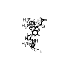 Cc1cc(Nc2nncn2C2CCc3sc(NC(=O)C4CC4)c(S(=O)(=O)N(C)C(C)C)c3C2)n(C)n1